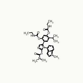 CCNC(=O)Oc1cc(OC(=O)NCC)c(C(C)C)cc1-c1cnc(SC(=O)N(C)C)n1-c1cccc2c1ccn2C